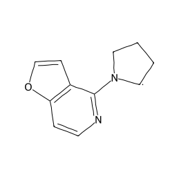 [CH]1CCCN1c1nccc2occc12